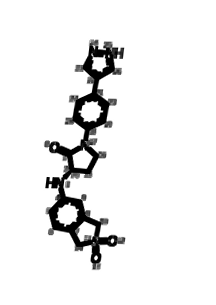 O=C1[C@H](Nc2ccc3c(c2)CS(=O)(=O)C3)CCN1c1ccc(-c2cn[nH]c2)cc1